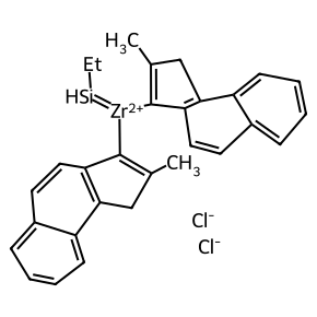 CC[SiH]=[Zr+2]([C]1=C(C)Cc2c1ccc1ccccc21)[C]1=C(C)Cc2c1ccc1ccccc21.[Cl-].[Cl-]